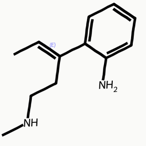 C/C=C(\CCNC)c1ccccc1N